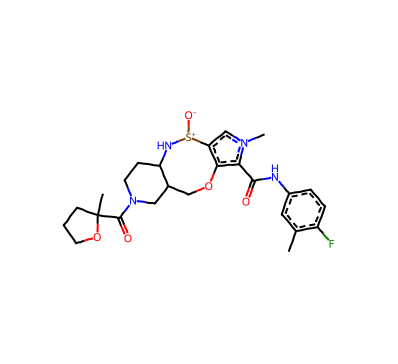 Cc1cc(NC(=O)c2c3c(cn2C)[S+]([O-])NC2CCN(C(=O)C4(C)CCCO4)CC2CO3)ccc1F